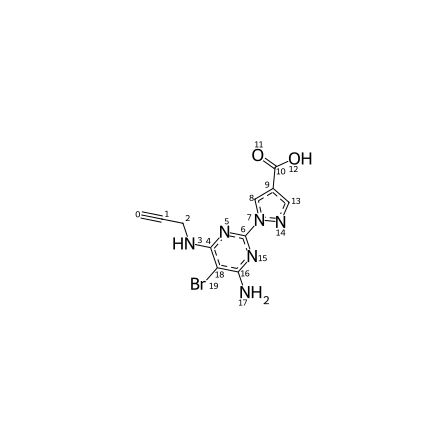 C#CCNc1nc(-n2cc(C(=O)O)cn2)nc(N)c1Br